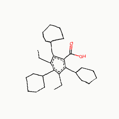 CCc1c(C2CCCCC2)c(CC)c(C2CCCCC2)c(C(=O)O)c1C1CCCCC1